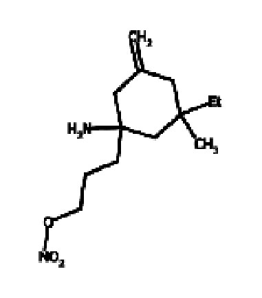 C=C1CC(C)(CC)CC(N)(CCCO[N+](=O)[O-])C1